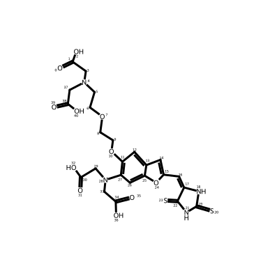 O=C(O)CN(CCOCCOc1cc2cc(C=C3NC(=S)NC3=S)oc2cc1N(CC(=O)O)CC(=O)O)CC(=O)O